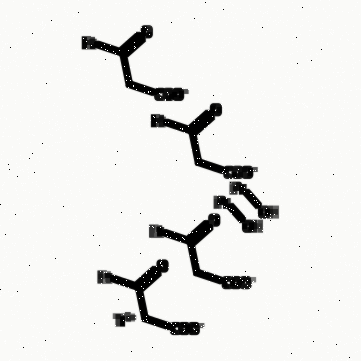 CC(C)O.CC(C)O.CCC(=O)CC(=O)[O-].CCC(=O)CC(=O)[O-].CCC(=O)CC(=O)[O-].CCC(=O)CC(=O)[O-].[Ti+4]